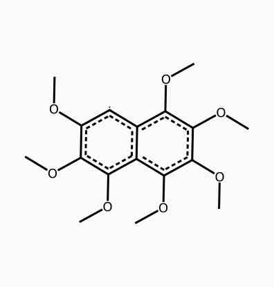 COc1[c]c2c(OC)c(OC)c(OC)c(OC)c2c(OC)c1OC